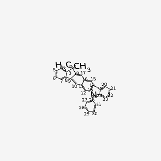 CC1(C)c2ccccc2-c2cc3cc4c(cc3cc21)c1ccccc1n4-c1ccccc1